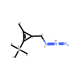 CC1=C([Si](C)(C)C)C1CN=[N+]=[N-]